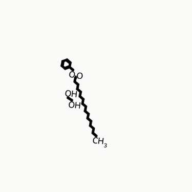 CCCCCCCCCCCCCCCCCC(=O)OCc1ccccc1.OCCO